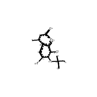 Cc1cc(=O)oc2c(Cl)c(SC(C)(C)C)c(F)cc12